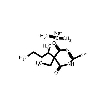 C=C=C.CCCC(C)C1(CC)C(=O)N=C([O-])NC1=O.[Na+]